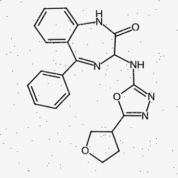 O=C1Nc2ccccc2C(c2ccccc2)=NC1Nc1nnc(C2CCOC2)o1